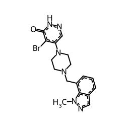 Cn1ncc2cccc(CN3CCN(c4cn[nH]c(=O)c4Br)CC3)c21